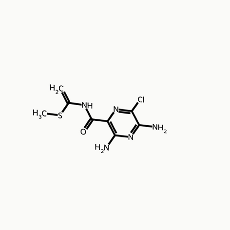 C=C(NC(=O)c1nc(Cl)c(N)nc1N)SC